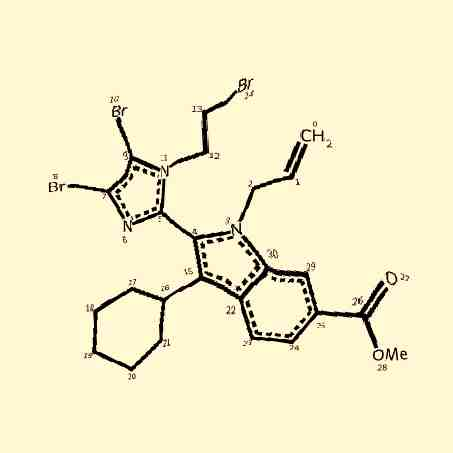 C=CCn1c(-c2nc(Br)c(Br)n2CCBr)c(C2CCCCC2)c2ccc(C(=O)OC)cc21